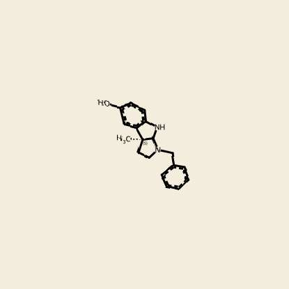 C[C@@]12CCN(Cc3ccccc3)C1Nc1ccc(O)cc12